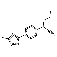 CCOC(C#N)c1ccc(-c2nnc(C)o2)cc1